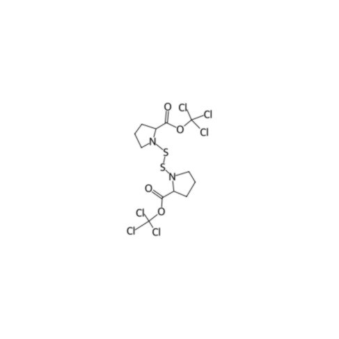 O=C(OC(Cl)(Cl)Cl)C1CCCN1SSN1CCCC1C(=O)OC(Cl)(Cl)Cl